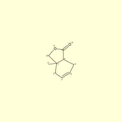 CC12CC=CCC1C(=O)OC2